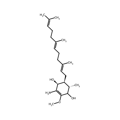 COC1=C(N)[C@@H](O)[C@@H](C/C=C(\C)CC/C=C(\C)CCC=C(C)C)[C@H](C)C1O